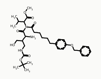 COC(=O)C(C(C)C)N(C(=O)CCCCCc1ccc(OCc2ccccc2)cc1)C(=O)C(N)C(CO)CNC(=O)OC(C)(C)C